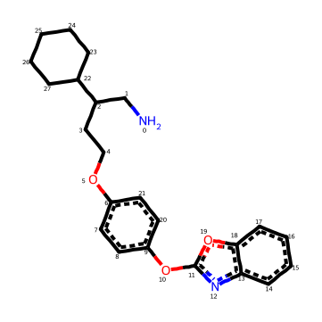 NCC(CCOc1ccc(Oc2nc3ccccc3o2)cc1)C1CCCCC1